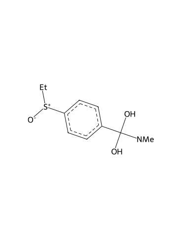 CC[S+]([O-])c1ccc(C(O)(O)NC)cc1